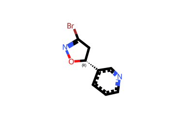 BrC1=NO[C@@H](c2cccnc2)C1